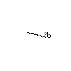 CC=CCCC=CCCC(C)OC(C)=O